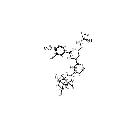 CNC(=N)NCCC[C@H](NC(=O)c1ccc(OC)c(F)c1)C(=O)N[C@@H](CC(C)C)B1O[C@@H]2C[C@@H]3C[C@@H](C3(C)C)[C@]2(C)O1